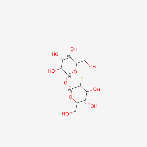 OCC1O[C@H](O[C@H]2OC(CO)[C@@H](O)C(O)C2F)C(O)C(O)[C@@H]1O